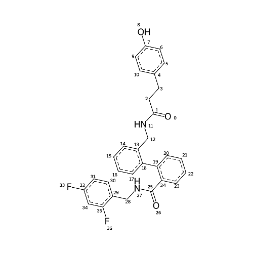 O=C(CCc1ccc(O)cc1)NCc1ccccc1-c1ccccc1C(=O)NCc1ccc(F)cc1F